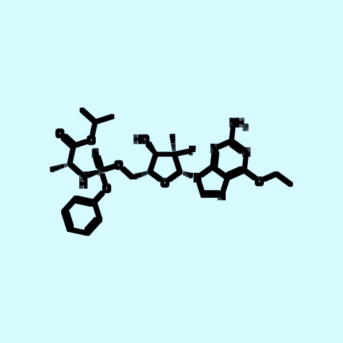 CCOc1nc(N)nc2c1ncn2[C@@H]1O[C@H](CO[P@](=S)(N[C@H](C)C(=O)OC(C)C)Oc2ccccc2)[C@@H](O)[C@@]1(C)F